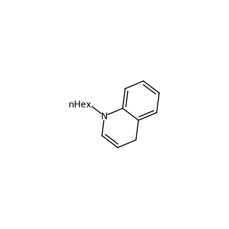 CCCCCCN1C=CCc2ccccc21